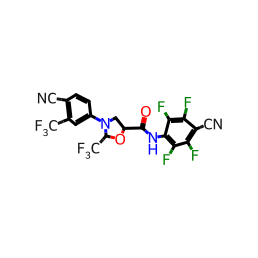 N#Cc1ccc(N2CC(C(=O)Nc3c(F)c(F)c(C#N)c(F)c3F)OC2C(F)(F)F)cc1C(F)(F)F